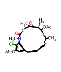 COc1cc2cc(c1Cl)N(C)C(=O)CCC1(C)OC1[C@H](C)C(OC(C)=O)CC(C)C/C=C/C=C/C2